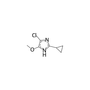 COc1[nH]c(C2CC2)nc1Cl